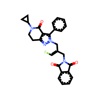 O=C1c2ccccc2C(=O)N1CC(=CF)Cn1nc2c(c1-c1ccccc1)C(=O)N(C1CC1)CC2